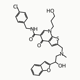 CN(Cc1cc2c(=O)c(C(=O)NCc3ccc(Cl)cc3)cn(CCCO)c2s1)CC(O)c1cc2ccccc2o1